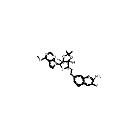 COc1ncnc2c1ccn2C1O[C@H](CCc2ccc3cc(F)c(N)nc3c2)[C@H]2OC(C)(C)O[C@@H]12